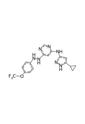 FC(F)(F)Oc1ccc(NNc2cc(Nc3cc(C4CC4)[nH]n3)ncn2)cc1